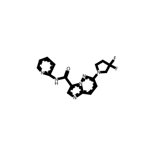 O=C(Nc1ccccn1)c1cnc2ccc(N3CCC(F)(F)C3)nn12